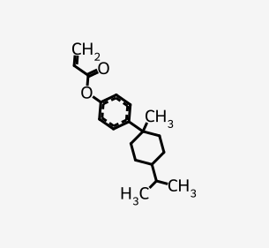 C=CC(=O)Oc1ccc(C2(C)CCC(C(C)C)CC2)cc1